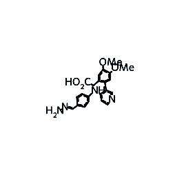 COc1cc(-c2cccnc2)c(C(Nc2ccc(C=NN)cc2)C(=O)O)cc1OC